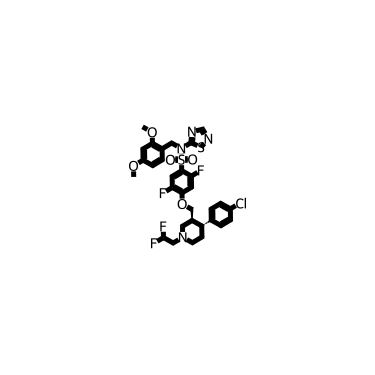 COc1ccc(CN(c2ncns2)S(=O)(=O)c2cc(F)c(OC[C@@H]3CN(CC(F)F)CC[C@H]3c3ccc(Cl)cc3)cc2F)c(OC)c1